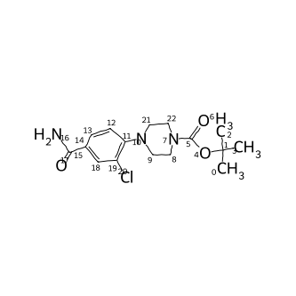 CC(C)(C)OC(=O)N1CCN(c2ccc(C(N)=O)cc2Cl)CC1